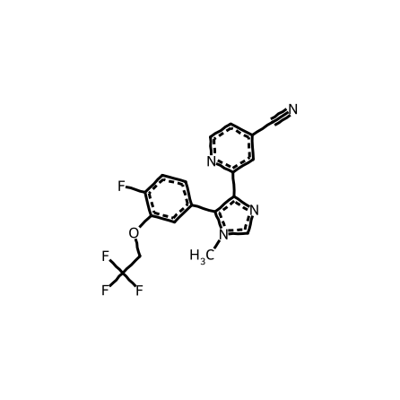 Cn1cnc(-c2cc(C#N)ccn2)c1-c1ccc(F)c(OCC(F)(F)F)c1